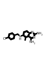 Cc1c(NCc2ccc(Cl)cc2)ccc2nc(N)nc(N)c12